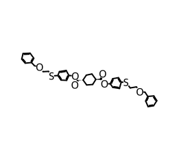 O=C(Oc1ccc(SCCOCc2ccccc2)cc1)[C@H]1CC[C@H](C(=O)Oc2ccc(SCCOCc3ccccc3)cc2)CC1